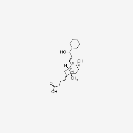 C[C@]12CC[C@@H](O)[C@H](C=CC(O)C3CCCCC3)[C@H]1CC2=CCCC(=O)O